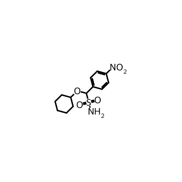 NS(=O)(=O)C(OC1CCCCC1)c1ccc([N+](=O)[O-])cc1